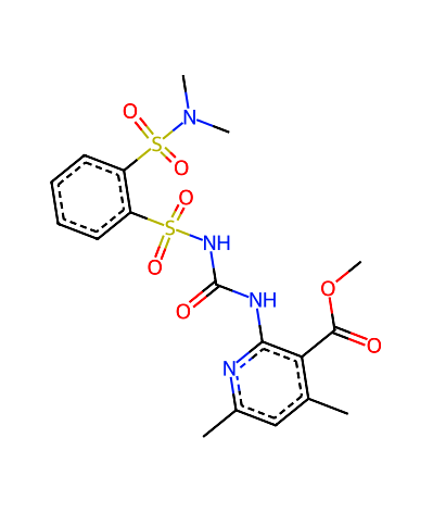 COC(=O)c1c(C)cc(C)nc1NC(=O)NS(=O)(=O)c1ccccc1S(=O)(=O)N(C)C